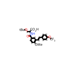 COc1ccc(C(=O)NC(COC(C)(C)C)C(=O)O)cc1C=Cc1ccc(OC(F)(F)F)cc1